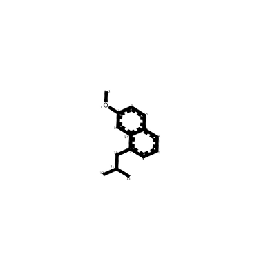 COc1ccc2cccc([CH]C(C)C)c2c1